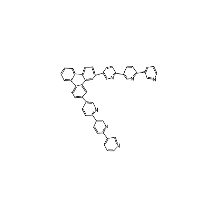 c1cncc(-c2ccc(-c3ccc(-c4ccc5c6ccccc6c6ccc(-c7ccc(-c8ccc(-c9cccnc9)nc8)nc7)cc6c5c4)cn3)cn2)c1